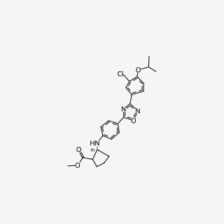 COC(=O)C1CCC[C@H]1Nc1ccc(-c2nc(-c3ccc(OC(C)C)c(Cl)c3)no2)cc1